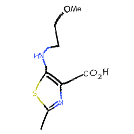 COCCNc1sc(C)nc1C(=O)O